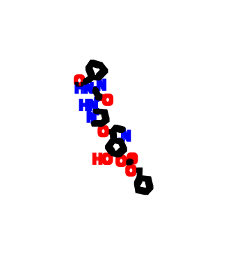 O=C(OCc1ccccc1)Oc1cc2nccc(Oc3ccc(NC(=O)c4nc5ccccc5c(=O)[nH]4)nc3)c2cc1O